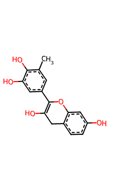 Cc1cc(C2=C(O)Cc3ccc(O)cc3O2)cc(O)c1O